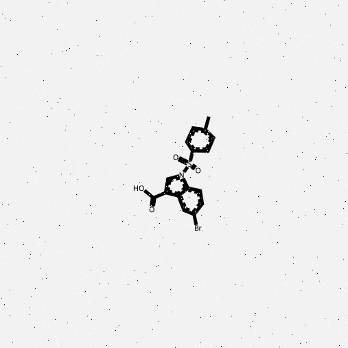 Cc1ccc(S(=O)(=O)n2cc(C(=O)O)c3cc(Br)ccc32)cc1